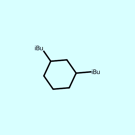 CCC(C)[C]1CCCC(C(C)CC)C1